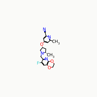 Cc1cc(O[C@@H]2C[C@H](C)N(Cc3nc4c(cc3F)OCCO4)C2)cc(C#N)n1